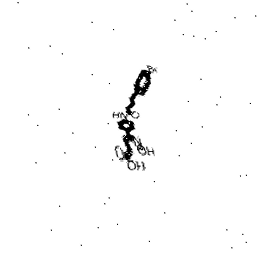 O=C(O)CCC(=NO)c1ccc(NC(=O)CCCc2ccc(Br)cc2)cc1